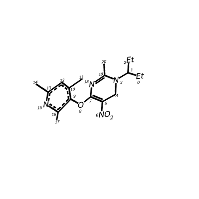 CCC(CC)N1[CH]C([N+](=O)[O-])=C(Oc2c(C)cc(C)nc2C)N=C1C